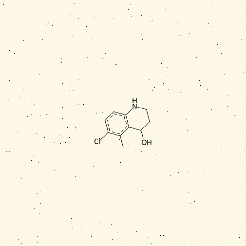 Cc1c(Cl)ccc2c1C(O)CCN2